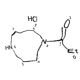 CCC(=O)N1CCNCC1.Cl